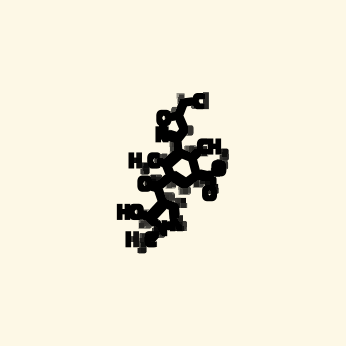 CC1=C(C2=NOC(CCl)C2)C(C)C(=S(=O)=O)C=C1C(=O)c1cnn(C)c1O